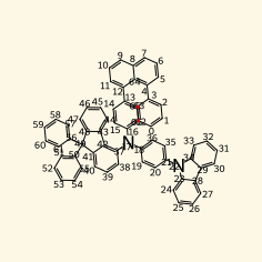 c1ccc(-c2cccc3cccc(-c4ccc(N(c5ccc(-n6c7ccccc7c7ccccc76)cc5)c5cccc6c5-c5ccccc5C6(c5ccccc5)c5ccccc5)cc4)c23)cc1